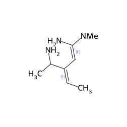 C/C=C(\C=C(/N)NC)C(C)N